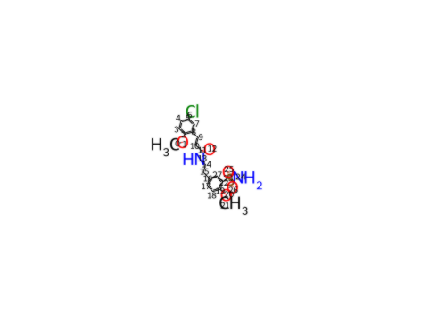 COc1ccc(Cl)cc1/C=C/C(=O)NCCc1ccc(OC)c(S(N)(=O)=O)c1